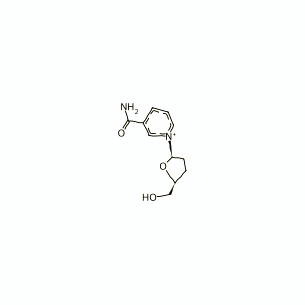 NC(=O)c1ccc[n+]([C@H]2CC[C@@H](CO)O2)c1